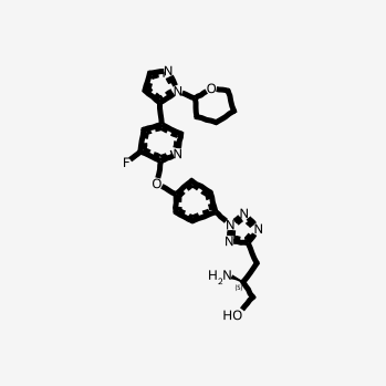 N[C@H](CO)Cc1nnn(-c2ccc(Oc3ncc(-c4ccnn4C4CCCCO4)cc3F)cc2)n1